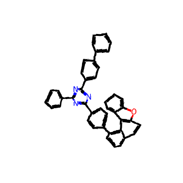 c1ccc(-c2ccc(-c3nc(-c4ccccc4)nc(-c4ccc(-c5cccc6ccc7oc8ccccc8c7c56)cc4)n3)cc2)cc1